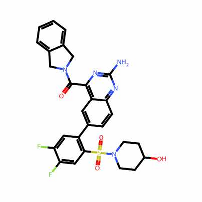 Nc1nc(C(=O)N2Cc3ccccc3C2)c2cc(-c3cc(F)c(F)cc3S(=O)(=O)N3CCC(O)CC3)ccc2n1